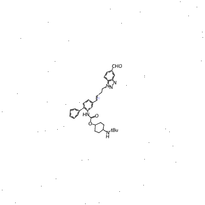 CC(C)(C)NC1CCC(OC(=O)Nc2cc(/C=C/CCn3nnc4cc(C=O)ccc43)ccc2-c2ccccc2)CC1